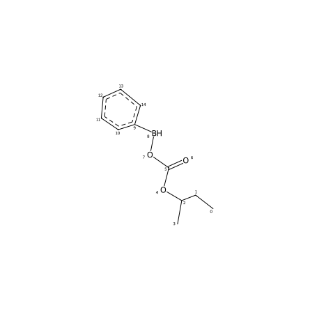 CCC(C)OC(=O)OBc1ccccc1